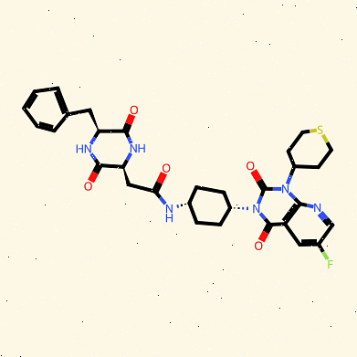 O=C(C[C@@H]1NC(=O)[C@H](Cc2ccccc2)NC1=O)N[C@H]1CC[C@@H](n2c(=O)c3cc(F)cnc3n(C3CCSCC3)c2=O)CC1